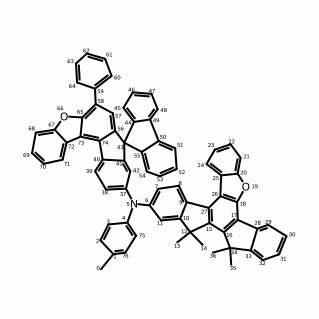 Cc1ccc(N(c2ccc3c(c2)C(C)(C)c2c4c(c5oc6ccccc6c5c2-3)-c2ccccc2C4(C)C)c2ccc3c(c2)C2(c4ccccc4-c4ccccc42)c2cc(-c4ccccc4)c4oc5ccccc5c4c2-3)cc1